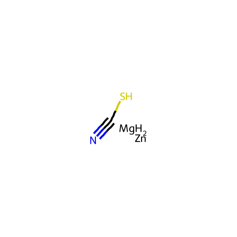 N#CS.[MgH2].[Zn]